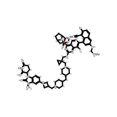 C#Cc1c(F)ccc2cc(OCOC)cc(-c3ncc4c(N5CC6CCC(C5)N6C(=O)OC(C)(C)C)nc(OCC5(CN6CCC(CC7CCN(CC8CN(c9ccc%10c(c9)n(C)c(=O)n%10C9CCC(=O)NC9=O)C8)CC7)CC6)CC5)nc4c3F)c12